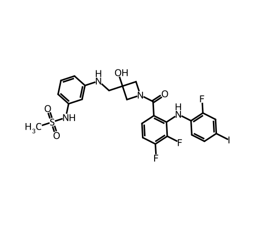 CS(=O)(=O)Nc1cccc(NCC2(O)CN(C(=O)c3ccc(F)c(F)c3Nc3ccc(I)cc3F)C2)c1